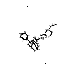 CC(C)CN1CCOC(CNC(=O)C23CC4CC(C2)CC(c2ccccc2)(C4)C3)C1